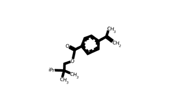 C=C(C)c1ccc(C(=O)OCC(C)(C)C(C)C)cc1